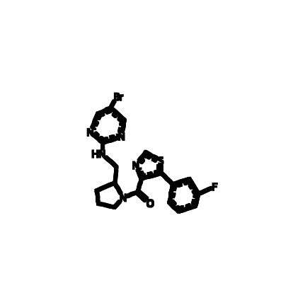 O=C(c1ncsc1-c1cccc(F)c1)N1CCCC1CNc1ncc(Br)cn1